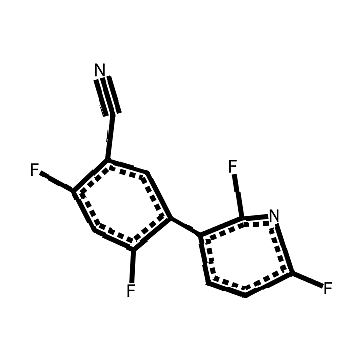 N#Cc1cc(-c2ccc(F)nc2F)c(F)cc1F